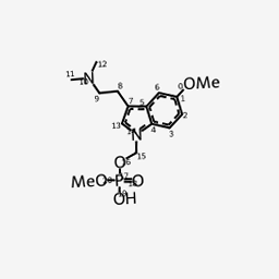 COc1ccc2c(c1)c(CCN(C)C)cn2COP(=O)(O)OC